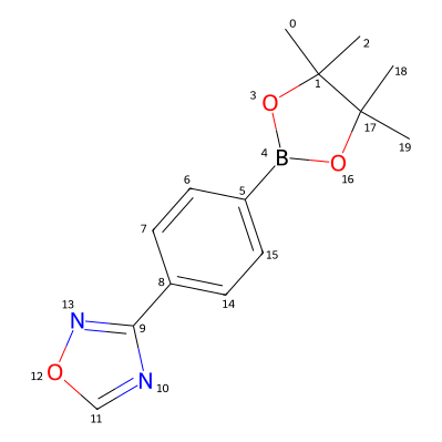 CC1(C)OB(c2ccc(-c3ncon3)cc2)OC1(C)C